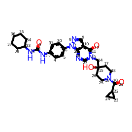 O=C(Nc1ccc(-n2ncc3c(=O)n(CC4(O)CCN(C(=O)C5CC5)CC4)cnc32)cc1)NC1CCCCC1